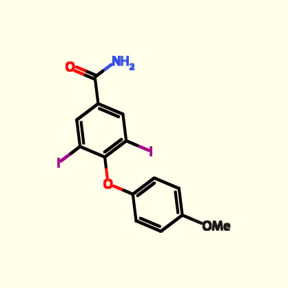 COc1ccc(Oc2c(I)cc(C(N)=O)cc2I)cc1